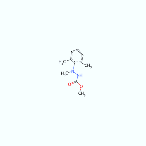 COC(=O)NN(C)c1c(C)cccc1C